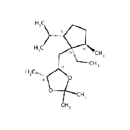 CC[C@@]1(C[C@@H]2OC(C)(C)O[C@@H]2C)[C@H](C)CC[C@H]1C(C)C